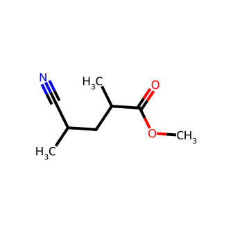 COC(=O)C(C)CC(C)C#N